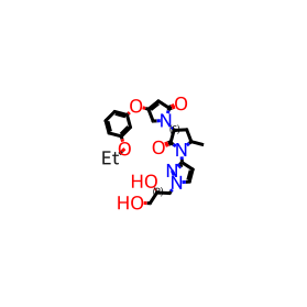 CCOc1cccc(OC2=CC(=O)N([C@H]3CC(C)N(c4ccn(C[C@@H](O)CO)n4)C3=O)C2)c1